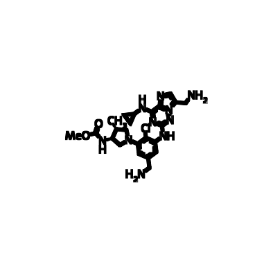 COC(=O)N[C@@H]1CN(c2cc(CN)cc(Nc3nc(NC4CC4)c4ncc(CN)n4n3)c2Cl)C[C@H]1C